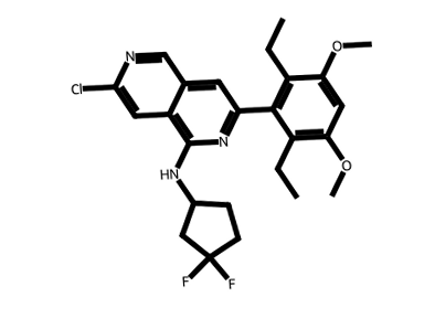 CCc1c(OC)cc(OC)c(CC)c1-c1cc2cnc(Cl)cc2c(NC2CCC(F)(F)C2)n1